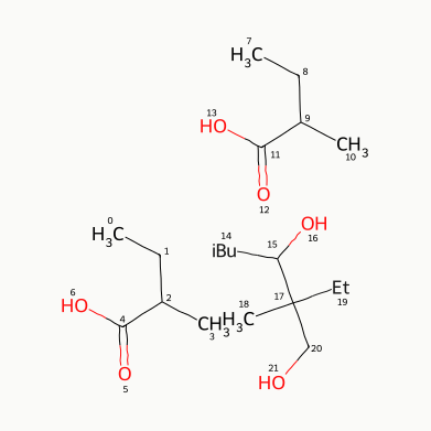 CCC(C)C(=O)O.CCC(C)C(=O)O.CCC(C)C(O)C(C)(CC)CO